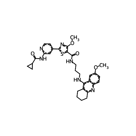 COc1ccc2nc3c(c(NCCCNC(=O)c4sc(-c5ccnc(NC(=O)C6CC6)c5)nc4OC)c2c1)CCCC3